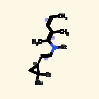 C/C=C\C(C)=C(/C)N(/C=C/[C@H]1CC1(CC)C(C)(C)C)CC